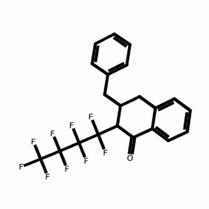 O=C1c2ccccc2CC(Cc2ccccc2)C1C(F)(F)C(F)(F)C(F)(F)C(F)(F)F